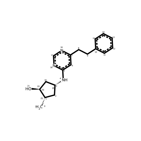 [CH2][C@H]1C[C@@H](Nc2cc(CCc3ccccc3)ncn2)C[C@@H]1O